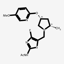 COc1ccc(O[C@@H]2C[C@H](C)N(Cc3sc(NC(C)=O)nc3F)C2)nc1